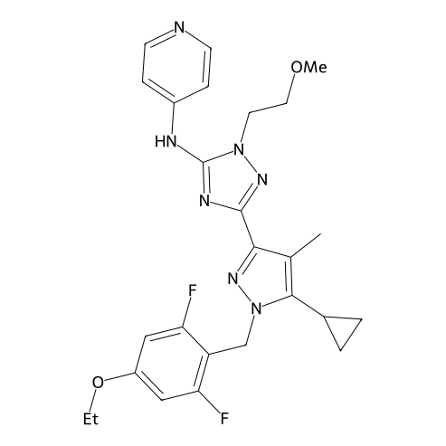 CCOc1cc(F)c(Cn2nc(-c3nc(Nc4ccncc4)n(CCOC)n3)c(C)c2C2CC2)c(F)c1